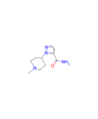 CN1CCC(n2nccc2C(N)=O)CC1